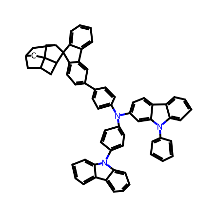 c1ccc(-n2c3ccccc3c3ccc(N(c4ccc(-c5ccc6c(c5)-c5ccccc5C65C6CC7CC8CC5C8(C7)C6)cc4)c4ccc(-n5c6ccccc6c6ccccc65)cc4)cc32)cc1